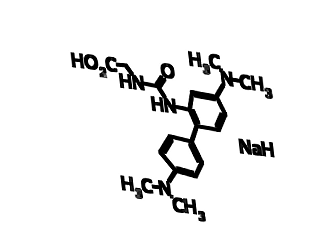 CN(C)c1ccc(-c2ccc(N(C)C)cc2NC(=O)NCC(=O)O)cc1.[NaH]